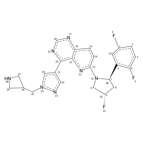 Fc1ccc(F)c([C@H]2C[C@H](F)CN2c2ccc3ncnc(-c4cnn(CC5CNC5)c4)c3n2)c1